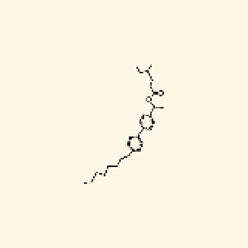 CCCCCCCCc1ccc(-c2ccc(C(C)OC(=O)CCC(C)CC)cc2)cc1